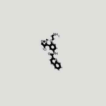 Cn1ncc(Cl)c1-c1cc(NC(=O)c2ccc3ccccc3n2)ccc1OCCN